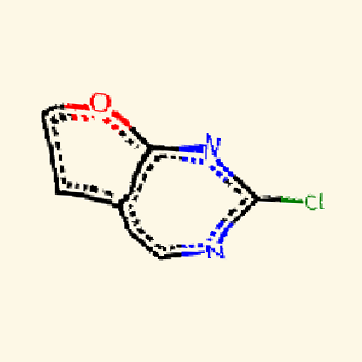 Clc1ncc2ccoc2n1